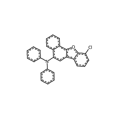 Clc1cccc2c1oc1c3ccccc3c(N(c3ccccc3)c3ccccc3)cc21